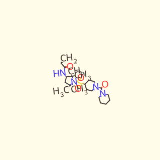 C=CC(=O)NC1CC(C)(C)N(S(=O)(=O)C2CCN(C(=O)N3CCCCC3)CC2)C1(C)C